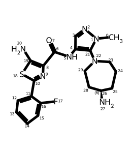 Cn1ncc(NC(=O)c2nc(-c3ccccc3F)sc2N)c1N1CCC[C@@H](N)CC1